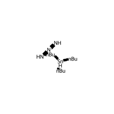 CCC[CH2][SnH]([CH2]CCC)[CH2]CCC.N=[N+]=N